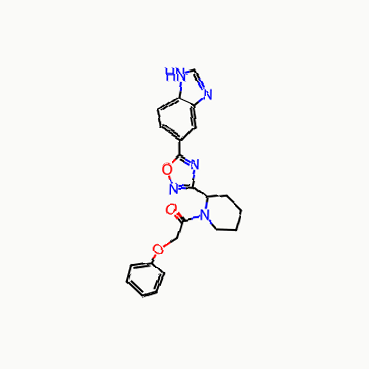 O=C(COc1ccccc1)N1CCCCC1c1noc(-c2ccc3[nH]cnc3c2)n1